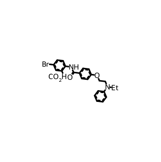 CCN(CCOc1ccc(C(=O)Nc2ccc(Br)cc2C(=O)O)cc1)c1ccccc1